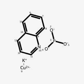 [Cu+2].[K+].[O-]P([O-])[O-].c1ccc2ncccc2c1